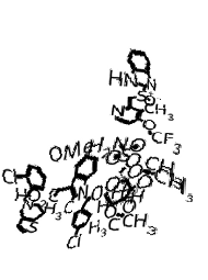 CC1(C)O[C@@H]2[C@@H](CO[C@@]3(COS(N)(=O)=O)OC(C)(C)O[C@@H]23)O1.COc1ccc2c(c1)c(CC(=O)O)c(C)n2C(=O)c1ccc(Cl)cc1.Cc1c(OCC(F)(F)F)ccnc1C[S+]([O-])c1nc2ccccc2[nH]1.Clc1ccccc1CN1CCc2sccc2C1